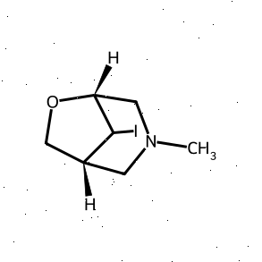 CN1C[C@@H]2CO[C@H](C1)C2I